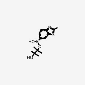 Cc1nc2ccc(B(O)OC(C)(C)C(C)(C)O)cc2s1